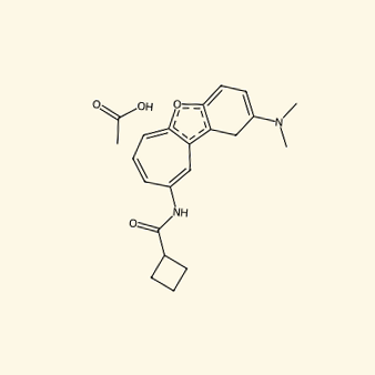 CC(=O)O.CN(C)C1=CC=c2oc3c(c2C1)C=C(NC(=O)C1CCC1)C=CC=3